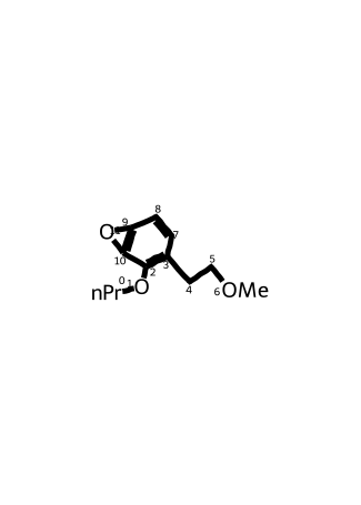 CCCOc1c(CCOC)ccc2c1O2